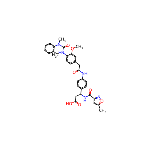 COc1cc(CC(=O)Nc2ccc(C(CC(=O)O)NC(=O)c3cc(C)on3)cc2)ccc1NC(=O)N(C)c1ccccc1C